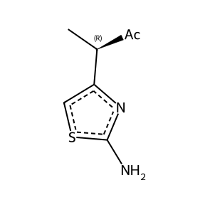 CC(=O)[C@H](C)c1csc(N)n1